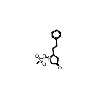 CS(=O)(=O)ON1CC(=O)CC1CCc1ccccc1